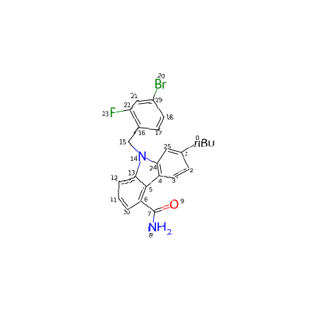 CCCCc1c[c]c2c3c(C(N)=O)cccc3n(Cc3ccc(Br)cc3F)c2c1